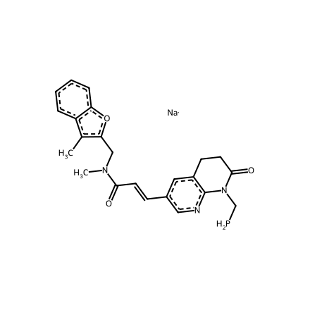 Cc1c(CN(C)C(=O)C=Cc2cnc3c(c2)CCC(=O)N3CP)oc2ccccc12.[Na]